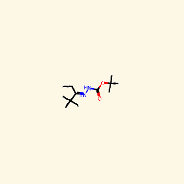 CC/C(=N\NC(=O)OC(C)(C)C)C(C)(C)C